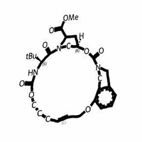 COC(=O)C1C[C@@H]2CN1C(=O)[C@H](C(C)(C)C)NC(=O)OCCC/C=C/COc1cccc3c1CN(C3)C(=O)O2